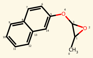 CC1OC1Oc1ccc2ccccc2c1